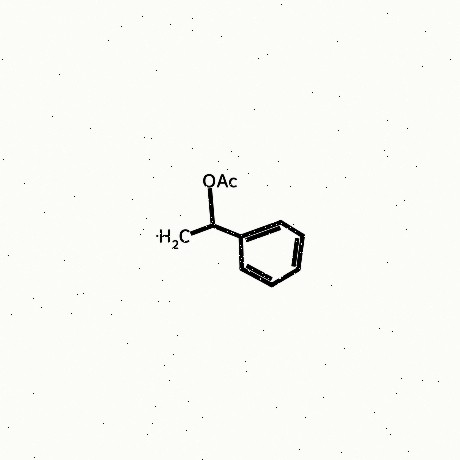 [CH2]C(OC(C)=O)c1ccccc1